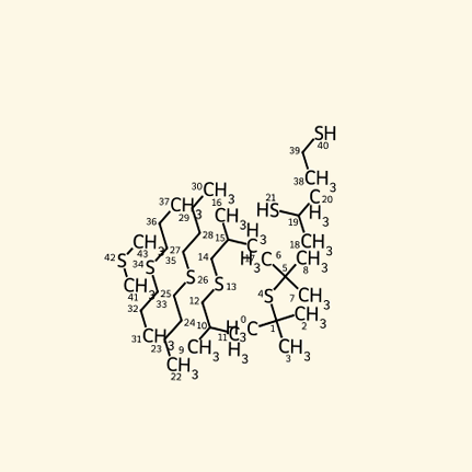 CC(C)(C)SC(C)(C)C.CC(C)CSCC(C)C.CC(C)S.CCCCSCCCC.CCCSCCC.CCS.CSC